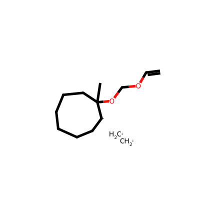 C=COCOC1(C)[CH]CCCCCC1.[CH2].[CH2]